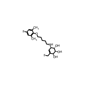 Cc1cc(F)cc(C)c1OCCCCCN[C@@H]1C=C(CF)[C@H](O)[C@H](O)[C@H]1O